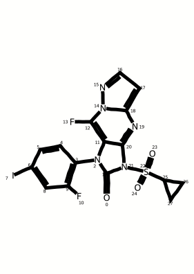 O=c1n(-c2ccc(I)cc2F)c2c(F)n3nccc3nc2n1S(=O)(=O)C1CC1